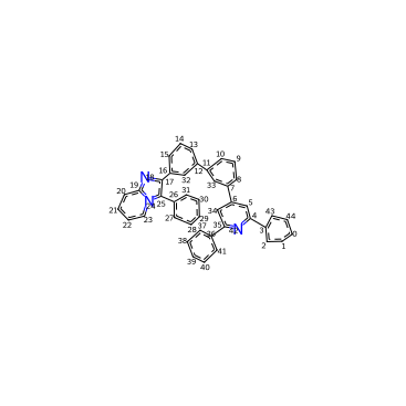 c1ccc(-c2cc(-c3cccc(-c4cccc(-c5nc6ccccn6c5-c5ccccc5)c4)c3)cc(-c3ccccc3)n2)cc1